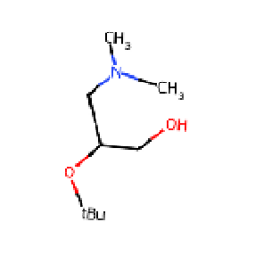 CN(C)CC(CO)OC(C)(C)C